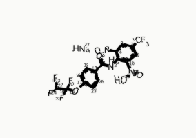 O=C(Nc1c([N+](=O)[O-])cc(C(F)(F)F)cc1[N+](=O)O)c1ccc(OC(F)(F)C(F)F)cc1.[NaH]